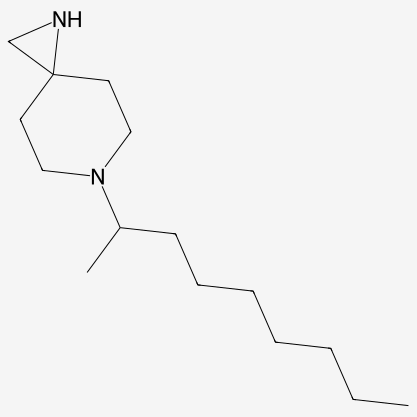 CCCCCCCC(C)N1CCC2(CC1)CN2